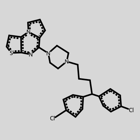 Clc1ccc(C(CCCN2CCN(c3nc4sccc4n4cccc34)CC2)c2ccc(Cl)cc2)cc1